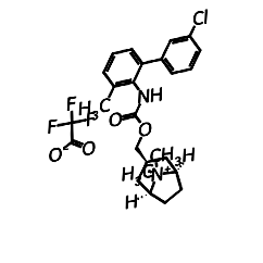 Cc1cccc(-c2cccc(Cl)c2)c1NC(=O)OC[C@H]1C[C@H]2CC[C@@H](C1)[N+]2(C)C.O=C([O-])C(F)(F)F